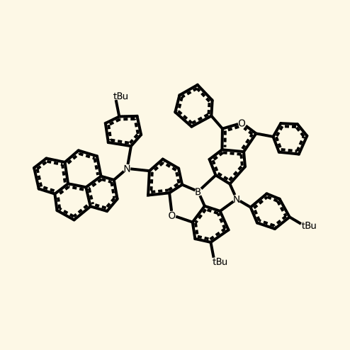 CC(C)(C)c1ccc(N2c3cc4c(-c5ccccc5)oc(-c5ccccc5)c4cc3B3c4ccc(N(c5ccc(C(C)(C)C)cc5)c5ccc6ccc7cccc8ccc5c6c78)cc4Oc4cc(C(C)(C)C)cc2c43)cc1